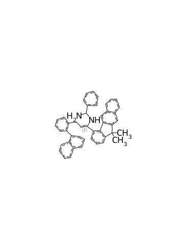 CC1(C)c2cc3ccccc3cc2-c2c(/C(=C/Cc3ccccc3-c3cccc4ccccc34)NC(N)c3ccccc3)cccc21